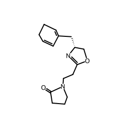 O=C1CCCN1CCC1=N[C@H](CC2=CCCC=C2)CO1